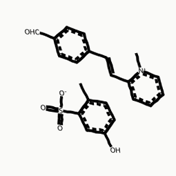 C[n+]1ccccc1C=Cc1ccc(C=O)cc1.Cc1ccc(O)cc1S(=O)(=O)[O-]